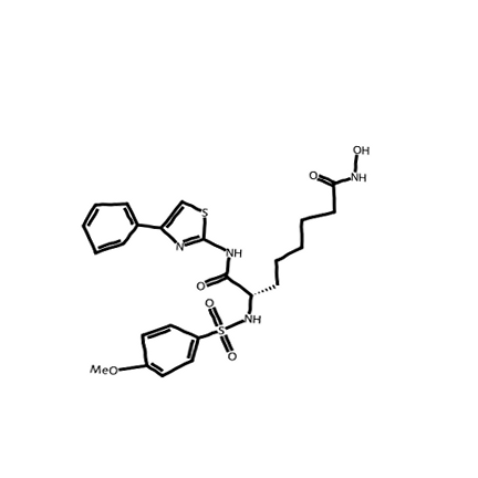 COc1ccc(S(=O)(=O)N[C@@H](CCCCCC(=O)NO)C(=O)Nc2nc(-c3ccccc3)cs2)cc1